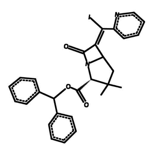 CC1(C)CC2/C(=C(/I)c3ccccn3)C(=O)N2[C@H]1C(=O)OC(c1ccccc1)c1ccccc1